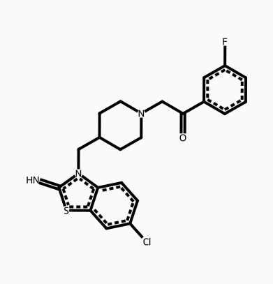 N=c1sc2cc(Cl)ccc2n1CC1CCN(CC(=O)c2cccc(F)c2)CC1